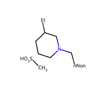 CCCCCCCCCCN1CCCC(CC)C1.CS(=O)(=O)O